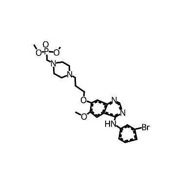 COc1cc2c(Nc3cccc(Br)c3)ncnc2cc1OCCCN1CCN(CP(=O)(OC)OC)CC1